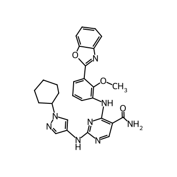 COc1c(Nc2nc(Nc3cnn(C4CCCCC4)c3)ncc2C(N)=O)cccc1-c1nc2ccccc2o1